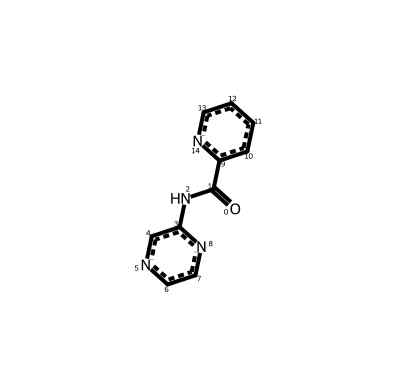 O=C(Nc1cnccn1)c1ccccn1